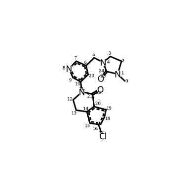 CN1CCN(Cc2cncc(N3CCc4cc(Cl)ccc4C3=O)c2)C1=O